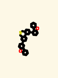 c1ccc2c(c1)oc1ccc(-c3ccc4c(c3)CSCc3ccc(-c5cccc6oc7ccccc7c56)cc3-4)cc12